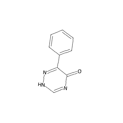 O=c1nc[nH]nc1-c1ccccc1